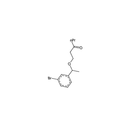 CCCC(=O)CCOC(C)c1cccc(Br)c1